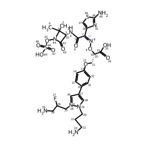 CC1(C)[C@H](NC(=O)/C(=N\O[C@@H](COc2ccc(-c3cn(CCCN)[n+](CC(F)CN)c3)cc2)C(=O)O)c2csc(N)n2)C(=O)N1OS(=O)(=O)O